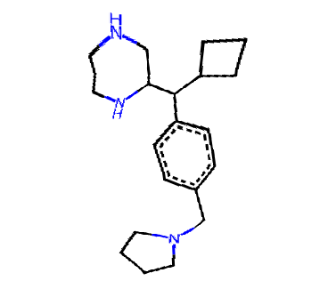 c1cc(C(C2CCC2)C2CNCCN2)ccc1CN1CCCC1